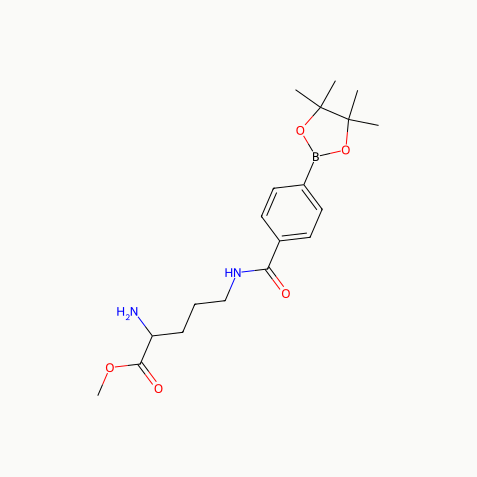 COC(=O)C(N)CCCNC(=O)c1ccc(B2OC(C)(C)C(C)(C)O2)cc1